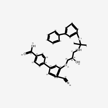 CC(C)(Cc1cccc(-c2ccccc2)c1)NC[C@@H](O)COc1cc(-c2ccc(C(=O)O)cc2)ccc1C#N